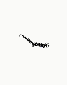 CCN(CC)c1ccc(/C=C2/CN(C3CCC(C(=O)NCCOCCOCCCCCCCl)CC3)C(C)=N2)c(O)c1